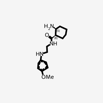 COc1ccc(NCCNC(=O)[C@@H]2CCCC[C@@H]2N)cc1